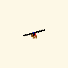 CCCCCCCCCN(CCCCCCCCC)OC(=S)S